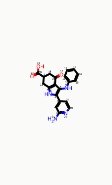 Nc1cc(-c2[nH]c3c(c2Nc2ccccc2)C(=O)CC(C(=O)O)C3)ccn1